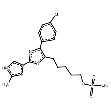 Cc1nc(-c2nc(-c3ccc(Cl)cc3)c(CCCCCOS(C)(=O)=O)o2)c[nH]1